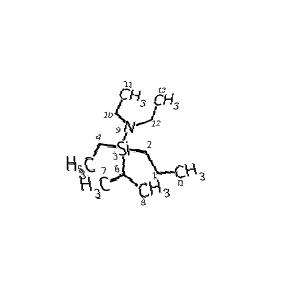 CCC[Si](CC)(C(C)C)N(CC)CC